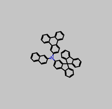 c1ccc2c(c1)-c1ccccc1C21c2ccccc2-c2ccc(N(c3ccc4ccccc4c3)c3ccc4c5ccccc5c5ccccc5c4c3)cc21